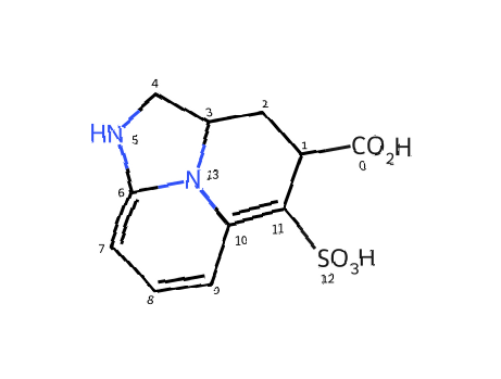 O=C(O)C1CC2CNC3=CC=CC(=C1S(=O)(=O)O)N32